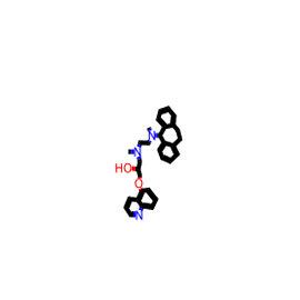 CN(CCN(C)C1c2ccccc2CCc2ccccc21)CC(O)COc1cccc2ncccc12